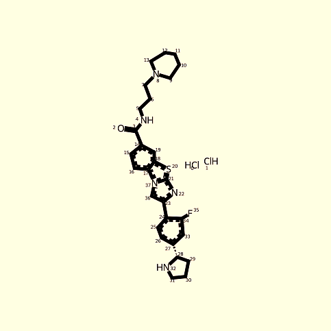 Cl.Cl.O=C(NCCCN1CCCCC1)c1ccc2c(c1)sc1nc(-c3ccc([C@@H]4CCCN4)cc3F)cn12